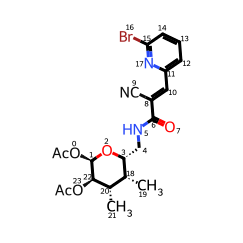 CC(=O)O[C@H]1O[C@H](CNC(=O)/C(C#N)=C/c2cccc(Br)n2)[C@H](C)[C@H](C)[C@H]1OC(C)=O